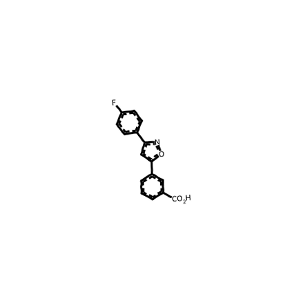 O=C(O)c1cccc(-c2cc(-c3ccc(F)cc3)no2)c1